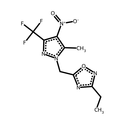 CCc1noc(Cn2nc(C(F)(F)F)c([N+](=O)[O-])c2C)n1